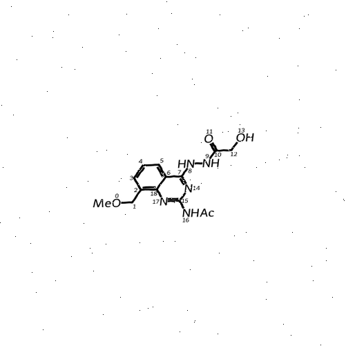 COCc1cccc2c(NNC(=O)CO)nc(NC(C)=O)nc12